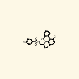 Cc1ccc(S(=O)(=O)OCC2COc3ccc(Cl)c(-c4ccccc4Cl)c3O2)cc1